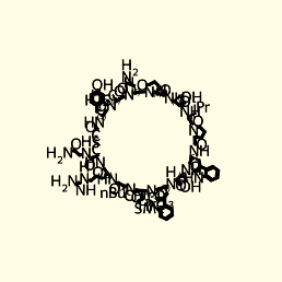 CCCC[C@H]1C(=O)N[C@@H](CCCNC(=N)N)C(=O)NC(C(=O)NCC(N)=O)CSCC(=O)N[C@@H](Cc2ccc(O)cc2)C(=O)N(C)[C@@H](C)C(=O)N[C@@H](CC(N)=O)C(=O)N2CCC[C@H]2C(=O)N[C@@H](CO)C(=O)N[C@@H](CC(C)C)C(=O)N2CCCC2C(=O)N[C@@H](Cc2c[nH]c3ccccc23)C(=O)N[C@@H](CO)C(=O)N[C@@H](Cc2c[nH]c3ccccc23)C(=O)N(C)[C@@H](CCSC)C(=O)N1C